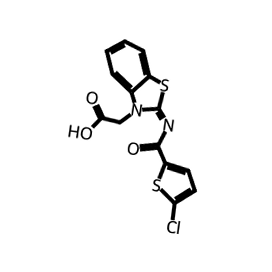 O=C(O)Cn1c(=NC(=O)c2ccc(Cl)s2)sc2ccccc21